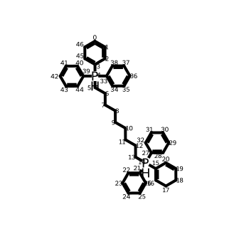 C1=C=CC([PH](CCCCCCCCC[PH](C2=CCCC=C2)(c2ccccc2)c2ccccc2)(c2ccccc2)c2ccccc2)=CC=1